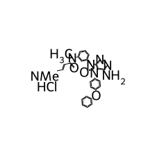 CNCC=CC(=O)N(C)c1cccc(-n2c(=O)n(-c3ccc(Oc4ccccc4)cc3)c3c(N)ncnc32)c1.Cl